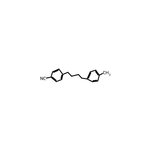 Cc1ccc(CCCCc2ccc(C#N)cc2)cc1